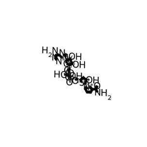 NC(=O)c1ccc[n+]([C@@H]2S[C@H](COP(=O)(O)OP(=O)(O)OC[C@H]3O[C@@H](n4cnc5c(N)ncnc54)[C@H](O)[C@@H]3O)C[C@H]2O)c1